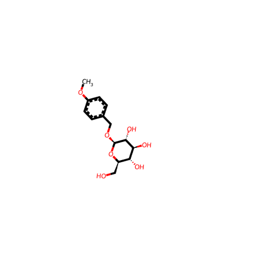 COc1ccc(CO[C@@H]2O[C@H](CO)[C@@H](O)[C@H](O)[C@H]2O)cc1